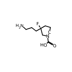 NCCC[C@]1(F)CCCN(C(=O)O)C1